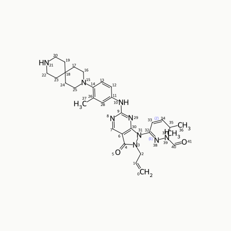 C=CCn1c(=O)c2cnc(Nc3ccc(N4CCC5(CCNCC5)CC4)c(C)c3)nc2n1C(/C=C\C(C)C)=N/NC=O